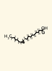 CCCCCCC1C[C@H]1CCCCCCCCCC(=O)O